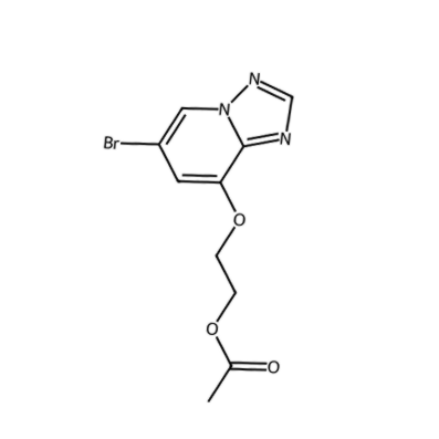 CC(=O)OCCOc1cc(Br)cn2ncnc12